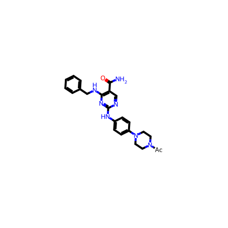 CC(=O)N1CCN(c2ccc(Nc3ncc(C(N)=O)c(NCc4ccccc4)n3)cc2)CC1